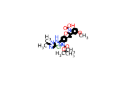 COc1ccc2c(c1)[C@]1(C[C@H]1c1ccc3c(Nc4nc(C(C)C)ncc4Cl)nn(C(=O)OC(C)(C)C)c3c1)C(=O)N2C(=O)O